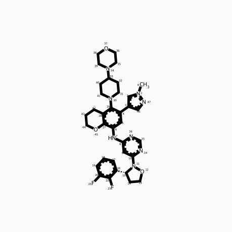 Cn1cc(-c2cc(Nc3cc(N4OCC[C@@H]4c4cccc(F)c4F)ncn3)c3c(c2N2CCC(N4CCOCC4)CC2)CCCO3)cn1